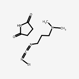 CCN=C=NCCCN(C)C.O=C1CCC(=O)N1